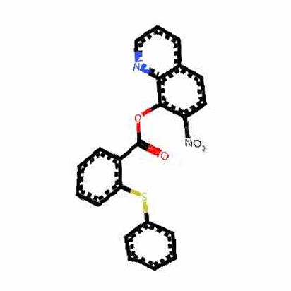 O=C(Oc1c([N+](=O)[O-])ccc2cccnc12)c1ccccc1Sc1ccccc1